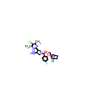 CC1=N/C(=C2\CN(C(=O)c3ccc(F)cc3O[C@@H]3CC4CC[C@H](C3)N4CCO)CC2=N)NC(C)=C1Cl